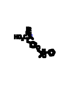 CCO/N=C(/C)C(Cc1ccc(OCc2nc(-c3ccccc3)oc2C)cc1)C(=O)O